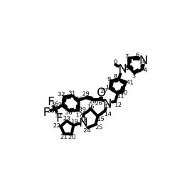 CN(c1ccncc1)c1ccc(CN(CC2CCN(C3CCCC3)CC2)C(=O)C=Cc2ccc(C(F)(F)F)cc2)cc1